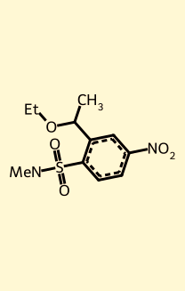 CCOC(C)c1cc([N+](=O)[O-])ccc1S(=O)(=O)NC